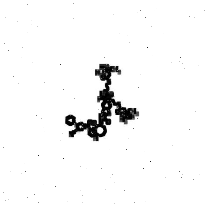 CC(C)(O)CC(=O)SCCOP(=O)(OCCSC(=O)CC(C)(C)O)C(F)(F)c1ccc2sc(C(=O)NC3CCCC[C@H]4CC[C@@H](C(=O)N5C[C@@H](C#N)[C@H](c6ccccc6)C5)N4C3=O)cc2c1